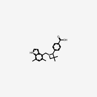 Cc1cc(C)c2[nH]ccc2c1CN1CC(C)(C)C1c1ccc(C(=O)O)cc1